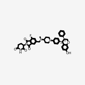 CN(Cc1cc(F)c2c(c1)C(=O)N(C1CCC(=O)NC1=O)C2=O)C1CCN(c2ccc([C@@H]3c4ccc(O)cc4OC[C@@H]3c3ccccc3)cc2)CC1